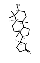 CC1(C)[C@@H](O)CC[C@]2(C)C3CC[C@H]([C@]4(C)CCC(=O)O4)[C@]3(C)CC[C@@H]12